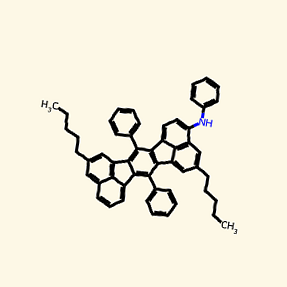 CCCCCc1cc2cccc3c4c(-c5ccccc5)c5c6cc(CCCCC)cc7c(Nc8ccccc8)ccc(c5c(-c5ccccc5)c4c(c1)c23)c76